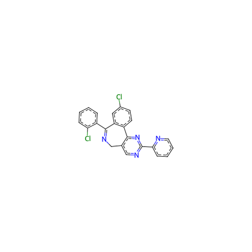 Clc1ccc2c(c1)C(c1ccccc1Cl)=NCc1cnc(-c3ccccn3)nc1-2